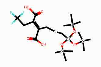 C[Si](C)(C)O[Si](CCC/C(C(=O)O)=C(/CC(F)(F)F)C(=O)O)(O[Si](C)(C)C)O[Si](C)(C)C